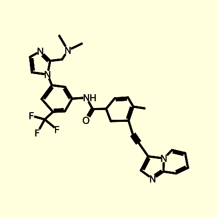 CC1=C(C#Cc2cnc3ccccn23)CC(C(=O)Nc2cc(-n3ccnc3CN(C)C)cc(C(F)(F)F)c2)C=C1